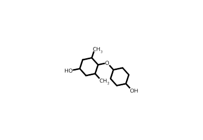 CC1CC(O)CC(C)C1OC1CCC(O)CC1